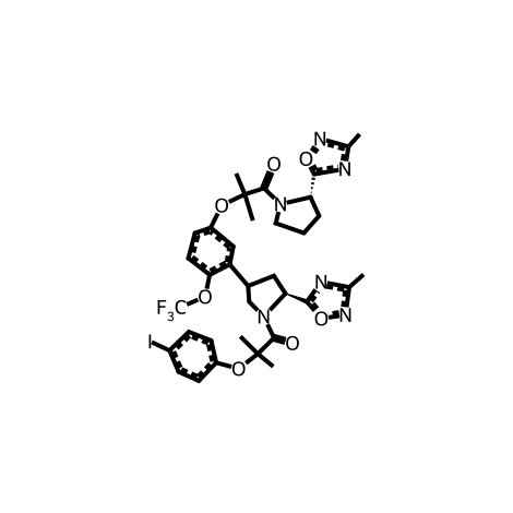 Cc1noc([C@@H]2CCCN2C(=O)C(C)(C)Oc2ccc(OC(F)(F)F)c(C3C[C@@H](c4nc(C)no4)N(C(=O)C(C)(C)Oc4ccc(I)cc4)C3)c2)n1